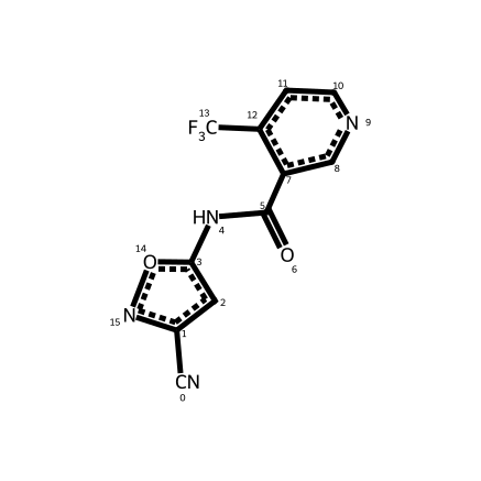 N#Cc1cc(NC(=O)c2cnccc2C(F)(F)F)on1